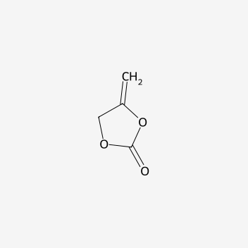 C=C1COC(=O)O1